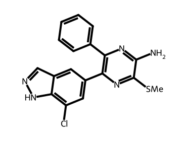 CSc1nc(-c2cc(Cl)c3[nH]ncc3c2)c(-c2ccccc2)nc1N